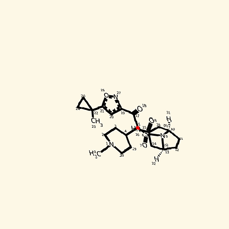 CN1CCC(CS(=O)(=O)N2[C@@H]3CC[C@H]2CC(NC(=O)c2cc(C4(C)CC4)on2)C3)CC1